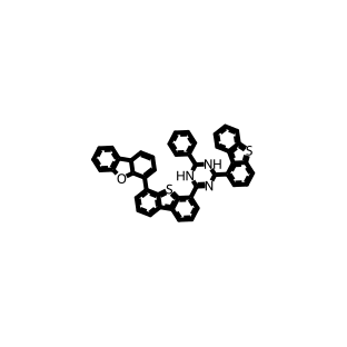 C1=CC2c3ccccc3OC2C(c2cccc3c2sc2c(C4=NC(c5cccc6sc7ccccc7c56)NC(c5ccccc5)N4)cccc23)=C1